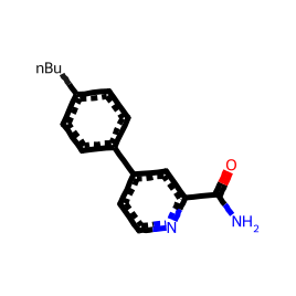 CCCCc1ccc(-c2ccnc(C(N)=O)c2)cc1